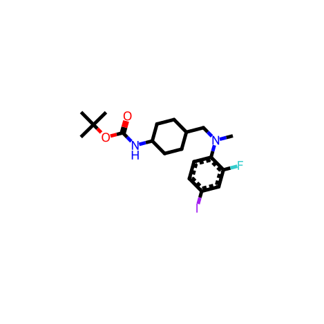 CN(CC1CCC(NC(=O)OC(C)(C)C)CC1)c1ccc(I)cc1F